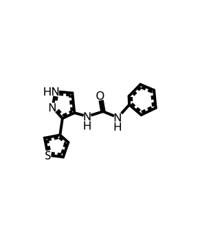 O=C(Nc1ccccc1)Nc1c[nH]nc1-c1ccsc1